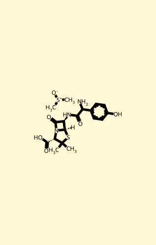 CC1(C)S[C@@H]2[C@H](NC(=O)C(N)c3ccc(O)cc3)C(=O)N2[C@H]1C(=O)O.C[S+](C)[O-]